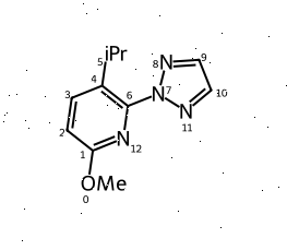 COc1ccc(C(C)C)c(-n2nccn2)n1